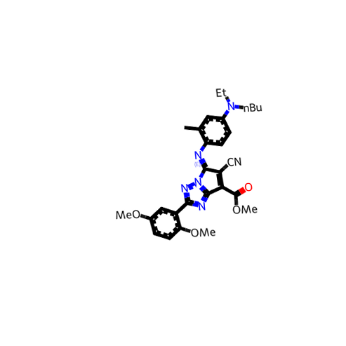 CCCCN(CC)c1ccc(/N=C2\C(C#N)=C(C(=O)OC)c3nc(-c4cc(OC)ccc4OC)nn32)c(C)c1